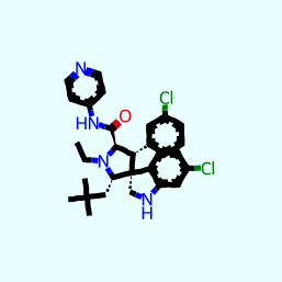 CCN1[C@@H](CC(C)(C)C)[C@@]2(CNc3cc(Cl)ccc32)[C@@H](c2cccc(Cl)c2)[C@@H]1C(=O)Nc1ccncc1